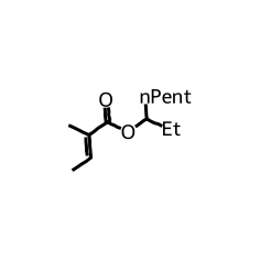 CC=C(C)C(=O)OC(CC)CCCCC